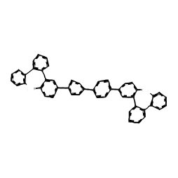 c1ccc2c(c1)Oc1ccc(-c3ccc(-c4ccc(-c5ccc6c(c5)-c5ccccc5-c5ccccc5O6)cc4)cc3)cc1-c1ccccc1-2